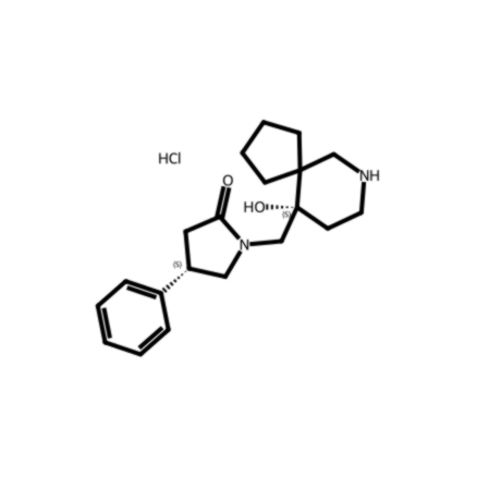 Cl.O=C1C[C@@H](c2ccccc2)CN1C[C@]1(O)CCNCC12CCCC2